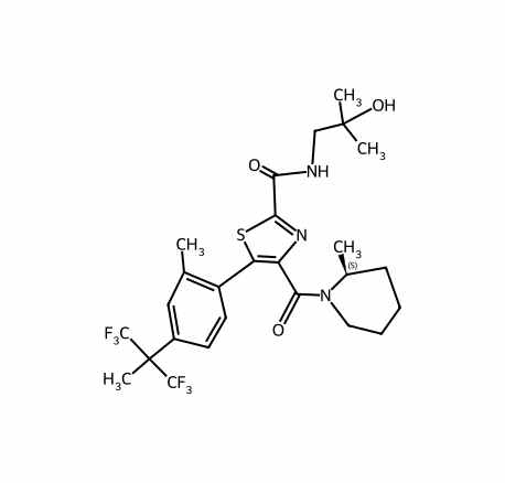 Cc1cc(C(C)(C(F)(F)F)C(F)(F)F)ccc1-c1sc(C(=O)NCC(C)(C)O)nc1C(=O)N1CCCC[C@@H]1C